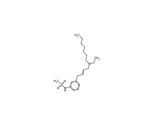 CCCCCCCN(CC)C/C=C/Cc1cccc(NS(C)(=O)=O)c1